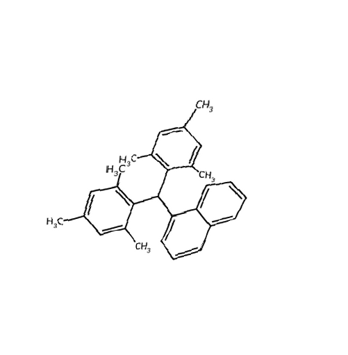 Cc1cc(C)c([C](c2c(C)cc(C)cc2C)c2cccc3ccccc23)c(C)c1